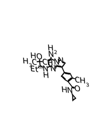 CC[C@H](Nc1cc(N)n2ncc(-c3ccc(C(=O)NC4CC4)c(C)c3)c2n1)C(C)(C)O